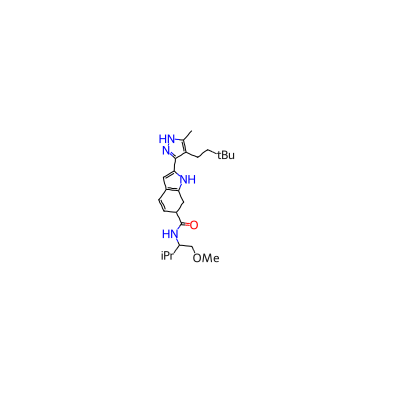 COCC(NC(=O)C1C=Cc2cc(-c3n[nH]c(C)c3CCC(C)(C)C)[nH]c2C1)C(C)C